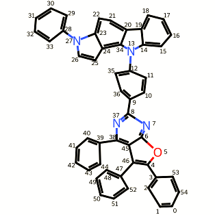 c1ccc(-c2oc3nc(-c4ccc(-n5c6ccccc6c6ccc7c(ccn7-c7ccccc7)c65)cc4)nc(-c4ccccc4)c3c2-c2ccccc2)cc1